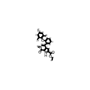 CCOC(=O)c1cc2c(-c3ccccc3Oc3c(C)cc(F)cc3C)cn(C)c(=O)c2[nH]1